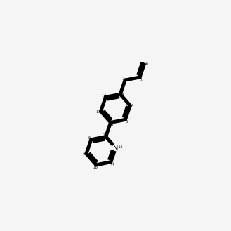 C=CCc1ccc(-c2ccccn2)cc1